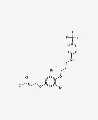 FC(F)(F)c1ccc(NCCCOc2c(Br)cc(OCC=C(Cl)Cl)cc2Br)cc1